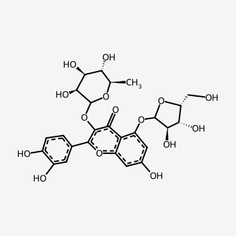 C[C@H]1OC(Oc2c(-c3ccc(O)c(O)c3)oc3cc(O)cc(OC4O[C@H](CO)[C@H](O)[C@H]4O)c3c2=O)[C@@H](O)[C@@H](O)[C@@H]1O